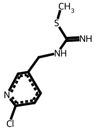 CSC(=N)NCc1ccc(Cl)nc1